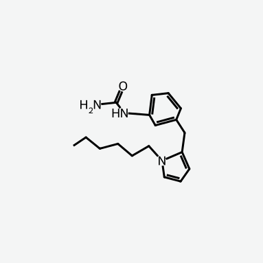 CCCCCCn1cccc1Cc1cccc(NC(N)=O)c1